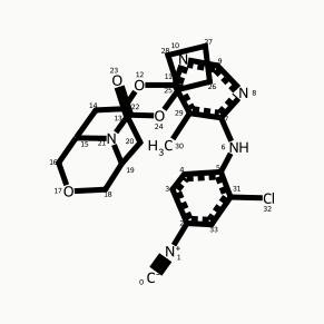 [C-]#[N+]c1ccc(Nc2ncnc(OC3CC4COCC(C3)N4C(=O)OC3CCC3)c2C)c(Cl)c1